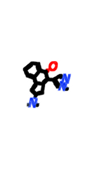 CN(C)C1=CC2=C(c3cnn(C)c3)C(=O)c3ccccc3C2=C1